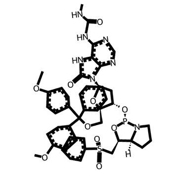 CNC(=O)Nc1ncnc2c1[nH]c(=O)n2[C@H]1C[C@H](O[P@@]2O[C@H](CS(=O)(=O)c3ccccc3)[C@@H]3CCCN32)[C@@H](COC(c2ccccc2)(c2ccc(OC)cc2)c2ccc(OC)cc2)O1